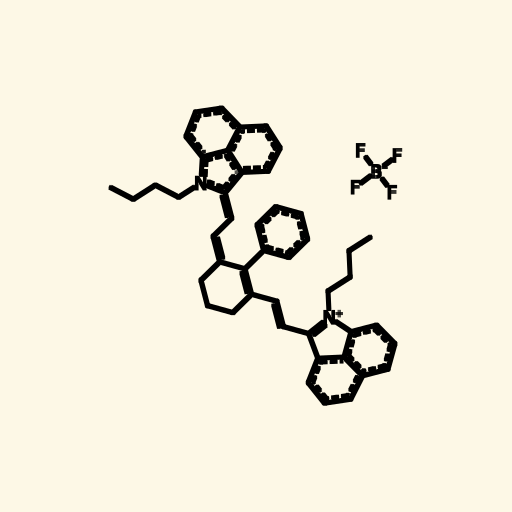 CCCCn1/c(=C\C=C2\CCCC(/C=C/C3=[N+](CCCC)c4cccc5cccc3c45)=C2c2ccccc2)c2cccc3cccc1c32.F[B-](F)(F)F